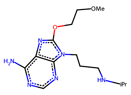 COCCOc1nc2c(N)ncnc2n1CCCNC(C)C